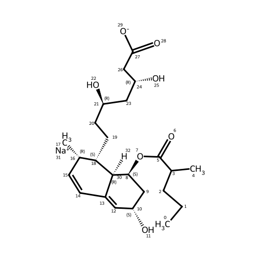 CCCC(C)C(=O)O[C@H]1C[C@H](O)C=C2C=C[C@H](C)[C@H](CC[C@@H](O)C[C@@H](O)CC(=O)[O-])[C@H]21.[Na+]